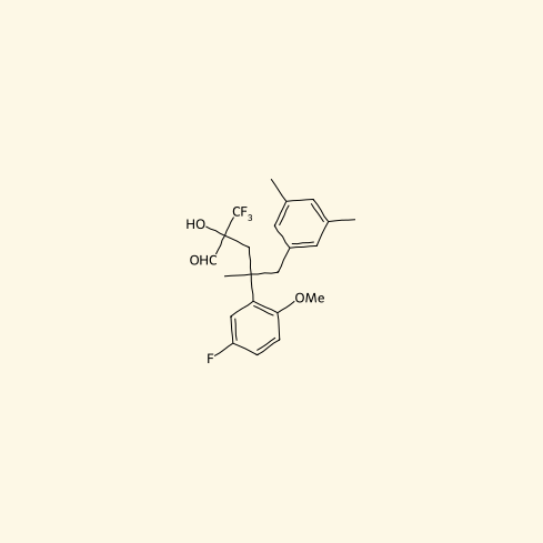 COc1ccc(F)cc1C(C)(Cc1cc(C)cc(C)c1)CC(O)(C=O)C(F)(F)F